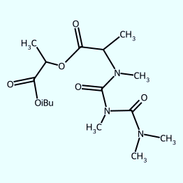 CC(C)COC(=O)C(C)OC(=O)C(C)N(C)C(=O)N(C)C(=O)N(C)C